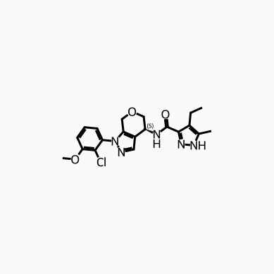 CCc1c(C(=O)N[C@@H]2COCc3c2cnn3-c2cccc(OC)c2Cl)n[nH]c1C